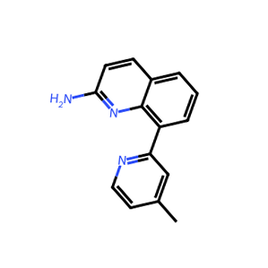 Cc1ccnc(-c2cccc3ccc(N)nc23)c1